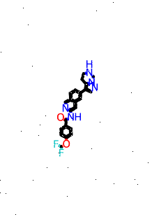 O=C(Nc1cc2cc(-c3cnn4c3CCNC4)ccc2cn1)c1ccc(OC(F)F)cc1